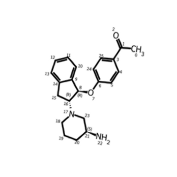 CC(=O)c1ccc(O[C@@H]2c3ccccc3C[C@H]2N2CCC[C@H](N)C2)cc1